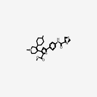 COC(=O)c1sc(-c2ccc(NC(=O)c3cscn3)cc2)cc1C1=C(C2CCC(C)CC2)CN(C)CC1